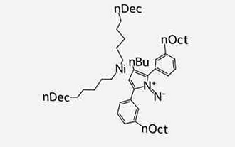 CCCCCCCCCCCCCC[CH2][Ni][CH2]CCCCCCCCCCCCCC.CCCCCCCCc1cccc(C2=CC(CCCC)=C(c3cccc(CCCCCCCC)c3)[N+]2=[N-])c1